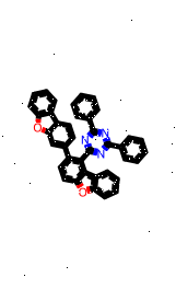 C1=CC2c3ccccc3OC2C=C1c1ccc2oc3ccccc3c2c1-c1nc(-c2ccccc2)nc(-c2ccccc2)n1